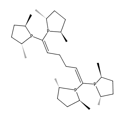 C[C@@H]1CC[C@@H](C)P1C(=CCCC=C(P1[C@@H](C)CC[C@@H]1C)P1[C@@H](C)CC[C@@H]1C)P1[C@H](C)CC[C@H]1C